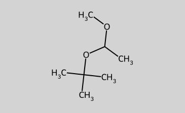 COC(C)OC(C)(C)C